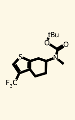 CN(C(=O)OC(C)(C)C)C1CCc2c(C(F)(F)F)csc2C1